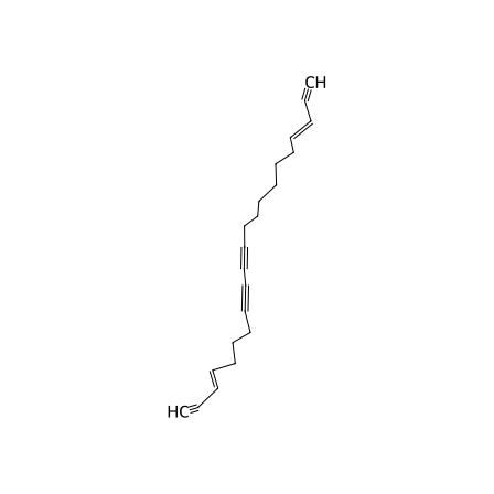 C#CC=CCCCC#CC#CCCCCCCC=CC#C